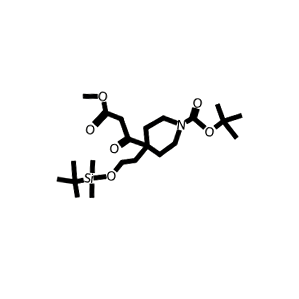 COC(=O)CC(=O)C1(CCO[Si](C)(C)C(C)(C)C)CCN(C(=O)OC(C)(C)C)CC1